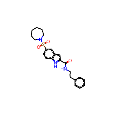 O=C(NCCc1ccccc1)c1cc2cc(S(=O)(=O)N3CCCCCC3)ccc2[nH]1